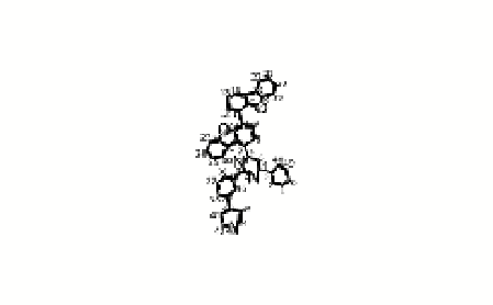 c1ccc(-c2cc(-c3ccc(-c4cccc5c4oc4ccccc45)c4oc5ccccc5c34)nc(-c3cccc(-c4ccncc4)c3)n2)cc1